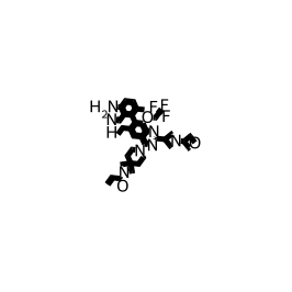 C=CC(=O)N1CC2(CCN(c3nc(C4CN(C5COC5)C4)nc4c(OCC(F)(F)F)c(-c5c(C)ccc(N)c5C=N)c(CC)cc34)CC2)C1